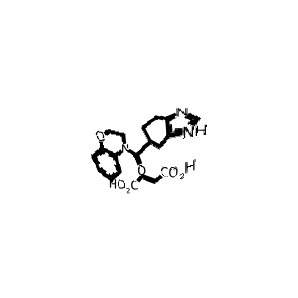 O=C(C1CCc2nc[nH]c2C1)N1CCOc2ccccc21.O=C(O)C=CC(=O)O